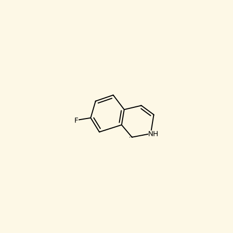 Fc1ccc2c(c1)[CH]NC=C2